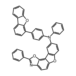 c1ccc(-c2nc3ccc4oc5ccc(N(c6ccccc6)c6ccc(-c7cccc8c7oc7ccccc78)cc6)cc5c4c3o2)cc1